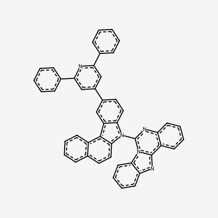 c1ccc(-c2cc(-c3ccc4c(c3)c3c5ccccc5ccc3n4-c3nc4ccccc4c4nc5ccccc5n34)cc(-c3ccccc3)n2)cc1